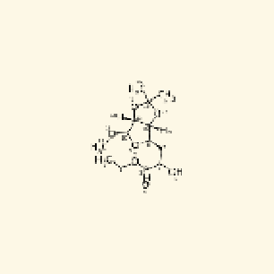 CCO[PH](=O)C(O)C[C@H]1O[C@@H](OC)[C@@H]2OC(C)(C)O[C@@H]21